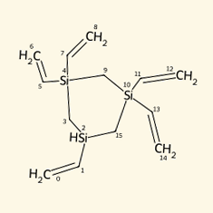 C=C[SiH]1C[Si](C=C)(C=C)C[Si](C=C)(C=C)C1